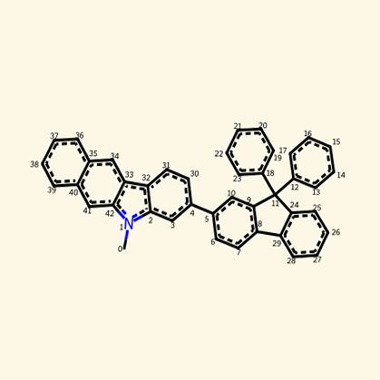 Cn1c2cc(-c3ccc4c(c3)C(c3ccccc3)(c3ccccc3)c3ccccc3-4)ccc2c2cc3ccccc3cc21